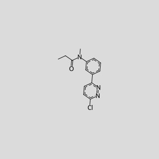 CCC(=O)N(C)c1cccc(-c2ccc(Cl)nn2)c1